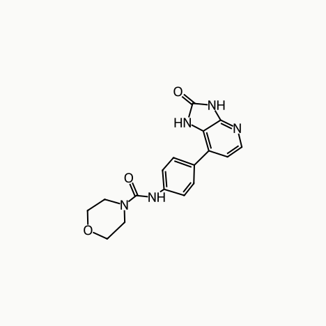 O=C(Nc1ccc(-c2ccnc3[nH]c(=O)[nH]c23)cc1)N1CCOCC1